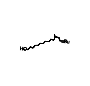 CCCCC=CC(C)CCCCCCCCC=CCO